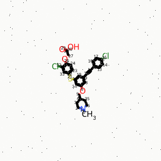 CN1CCC(COc2cc(C#Cc3ccc(Cl)cc3)cc(Sc3ccc(OCC(=O)O)c(Cl)c3)c2)CC1